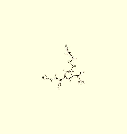 CCOC(=O)c1cc(C(C)=O)n(CCN=[N+]=[N-])c1